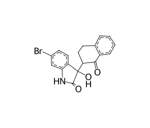 O=C1c2ccccc2CCC1C1(O)C(=O)Nc2cc(Br)ccc21